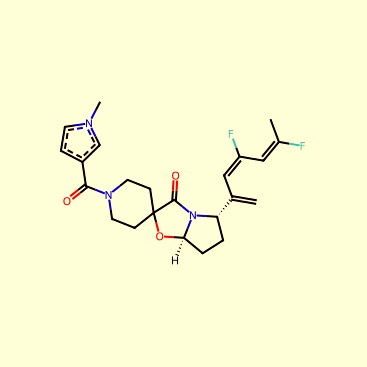 C=C(/C=C(F)\C=C(/C)F)[C@@H]1CC[C@H]2OC3(CCN(C(=O)c4ccn(C)c4)CC3)C(=O)N21